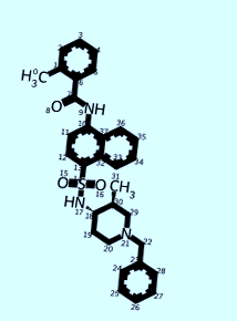 Cc1ccccc1C(=O)Nc1ccc(S(=O)(=O)N[C@H]2CCN(Cc3ccccc3)C[C@@H]2C)c2ccccc12